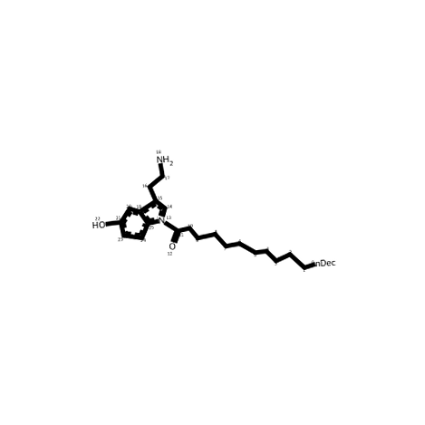 CCCCCCCCCCCCCCCCCCCCC(=O)n1cc(CCN)c2cc(O)ccc21